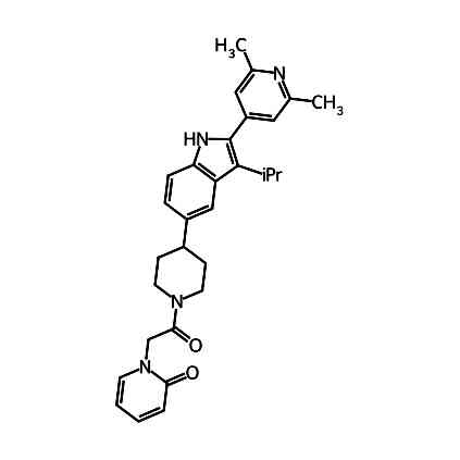 Cc1cc(-c2[nH]c3ccc(C4CCN(C(=O)Cn5ccccc5=O)CC4)cc3c2C(C)C)cc(C)n1